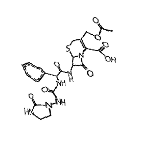 CC(=O)OCC1=C(C(=O)O)N2C(=O)C(NC(=O)C(NC(=O)NN3CCNC3=O)c3ccccc3)C2SC1